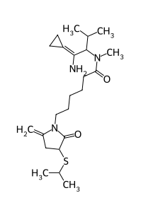 C=C1CC(SC(C)C)C(=O)N1CCCCCC(=O)N(C)C(C(N)=C1CC1)C(C)C